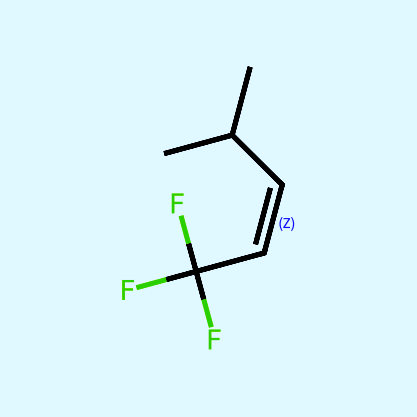 CC(C)/C=C\C(F)(F)F